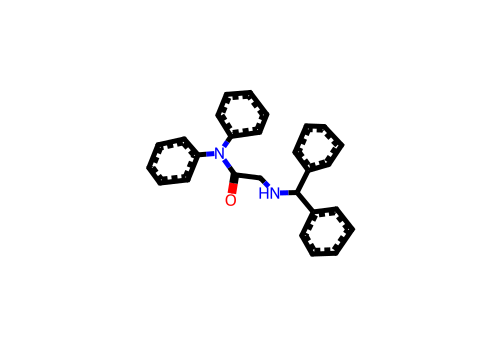 O=C(CNC(c1ccccc1)c1ccccc1)N(c1ccccc1)c1ccccc1